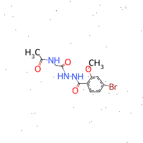 COc1cc(Br)ccc1C(=O)NNC(=O)CNC(C)=O